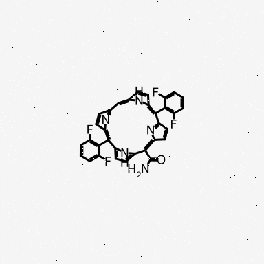 NC(=O)c1c2nc(c(-c3c(F)cccc3F)c3ccc(cc4nc(c(-c5c(F)cccc5F)c5ccc1[nH]5)C=C4)[nH]3)C=C2